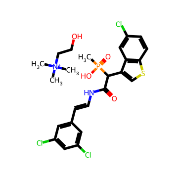 CP(=O)(O)C(C(=O)NC=Cc1cc(Cl)cc(Cl)c1)c1csc2ccc(Cl)cc12.C[N+](C)(C)CCO